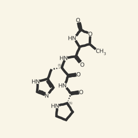 CC1OC(=O)NC1C(=O)N[C@@H](Cc1cnc[nH]1)C(=O)NC(=O)[C@@H]1CCCN1